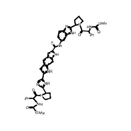 COC(=O)NC(C(=O)N1CCCC1c1ncc(-c2cc3cc4cc(C(=O)Nc5ccc6nc(C7CCCN7C(=O)C(NC(=O)OC)C(C)C)[nH]c6c5)[nH]c4cc3[nH]2)[nH]1)C(C)C